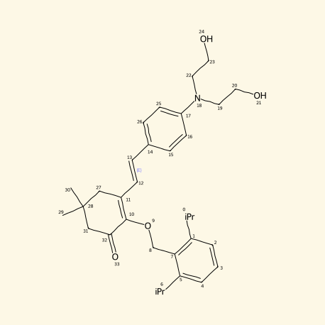 CC(C)c1cccc(C(C)C)c1COC1=C(/C=C/c2ccc(N(CCO)CCO)cc2)CC(C)(C)CC1=O